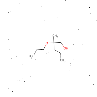 CCCOC(C)(CO)CCC